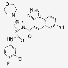 O=C(Nc1ccc(F)c(Cl)c1)[C@@H]1C[C@H](N2CCOCC2)CN1C(=O)C=Cc1cc(Cl)ccc1-n1cnnn1